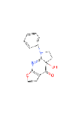 O=C1c2ccoc2N=C2N(c3ccccc3)CCC12O